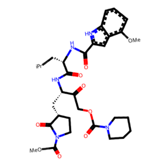 COC(=O)N1CC[C@@H](C[C@H](NC(=O)[C@H](CC(C)C)NC(=O)c2cc3c(OC)cccc3[nH]2)C(=O)COC(=O)N2CCCCC2)C1=O